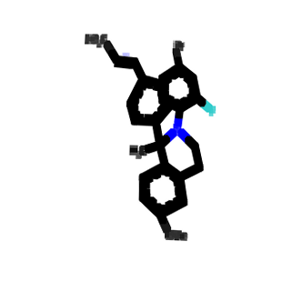 COc1ccc2c(c1)CCN(c1ccc(C(C)C)cc1F)C2(C)c1ccc(/C=C/C(=O)O)cc1